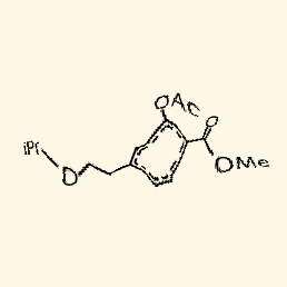 COC(=O)c1ccc(CCOC(C)C)cc1OC(C)=O